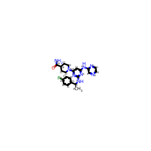 C[C@H](Nc1nc(Nc2cnccn2)cc(N2CCC(C(N)=O)CC2)n1)c1ccc(F)cc1